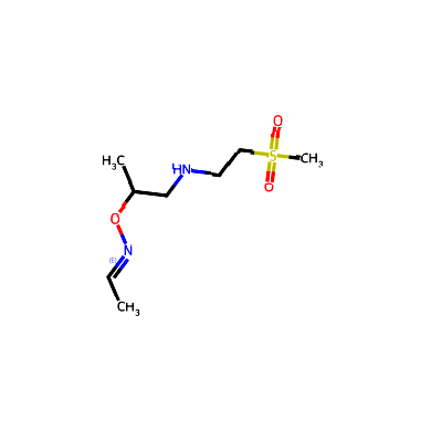 C/C=N/OC(C)CNCCS(C)(=O)=O